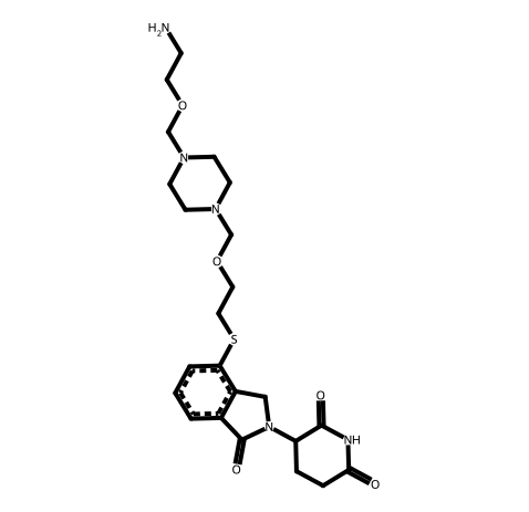 NCCOCN1CCN(COCCSc2cccc3c2CN(C2CCC(=O)NC2=O)C3=O)CC1